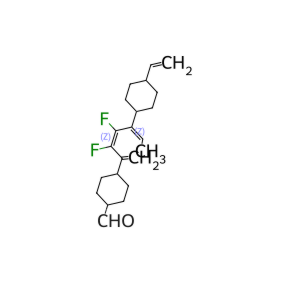 C=CC1CCC(C(=C/C)/C(F)=C(/F)C(=C)C2CCC(C=O)CC2)CC1